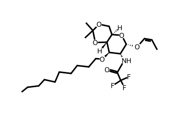 C/C=C\O[C@H]1O[C@@H]2COC(C)(C)O[C@H]2[C@H](OCCCCCCCCCC)[C@H]1NC(=O)C(F)(F)F